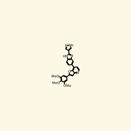 COc1cc(-c2cc3nccc(-c4ccc5[nH]c(-c6cn[nH]c6)nc5c4)c3o2)cc(OC)c1OC